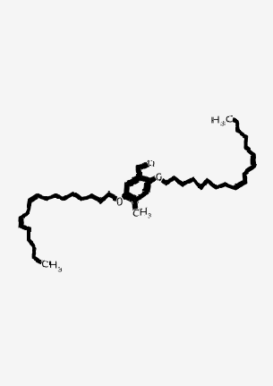 CCCCC/C=C\C/C=C\CCCCCCCCOc1cc(C=O)c(OCCCCCCCC/C=C\C/C=C\CCCCC)cc1C